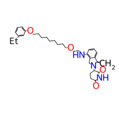 C=C1c2cccc(NCCOCCCCCCCCCOc3cccc(CC)c3)c2CN1C1CCC(=O)NC1=O